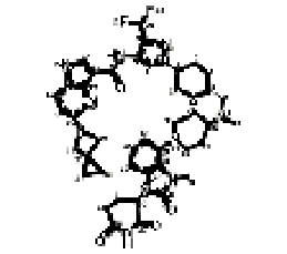 CN(C[C@H]1CC[C@H](n2cc(NC(=O)c3cnn4ccc(N5CC6(CC6)C5)nc34)c(C(F)F)n2)CC1)C1CCN(c2cccc3c2n(C)c(=O)n3C2CCC(=O)NC2=O)CC1